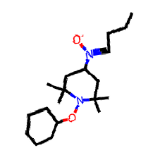 CCCC=[N+]([O-])C1CC(C)(C)N(OC2CCCCC2)C(C)(C)C1